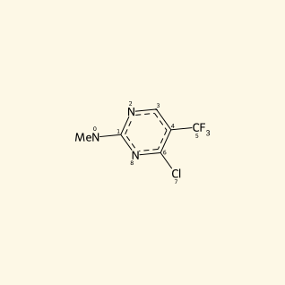 CNc1ncc(C(F)(F)F)c(Cl)n1